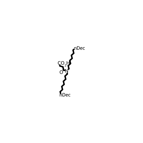 CCCCCCCCCCCCCCCCCCN(CCCCCCCCCCCCCCCCCC)C(=O)CCC(=O)O